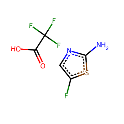 Nc1ncc(F)s1.O=C(O)C(F)(F)F